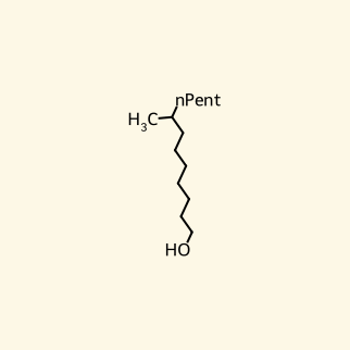 CCCCCC(C)CCCCCCCO